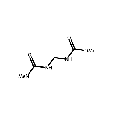 CNC(=O)NCNC(=O)OC